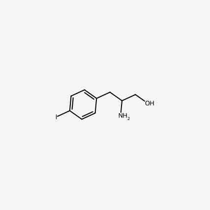 NC(CO)Cc1ccc(I)cc1